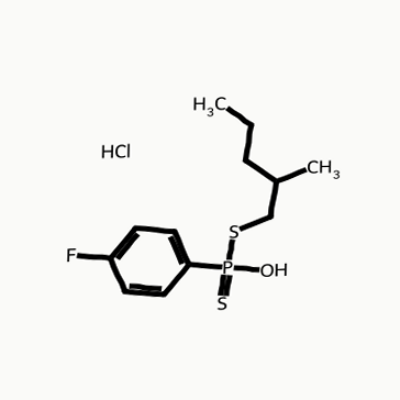 CCCC(C)CSP(O)(=S)c1ccc(F)cc1.Cl